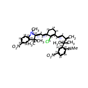 C=C(/C=C/C1=C(Cl)C(=C/C=C2/N(C)c3ccc([N+](=O)[O-])cc3C2(C)C)/CCC1)C(C)(C)c1cc([N+](=O)[O-])ccc1NC